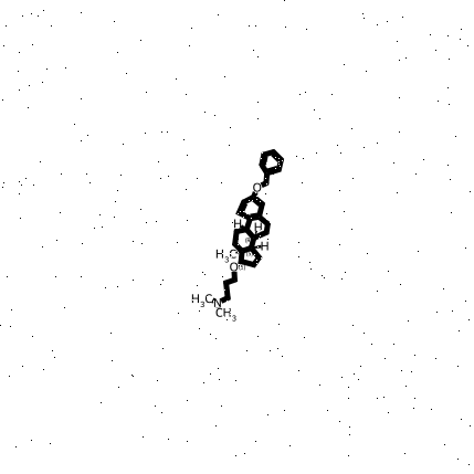 CN(C)CCCO[C@H]1CC[C@H]2[C@@H]3CCc4cc(OCc5ccccc5)ccc4[C@H]3CC[C@]12C